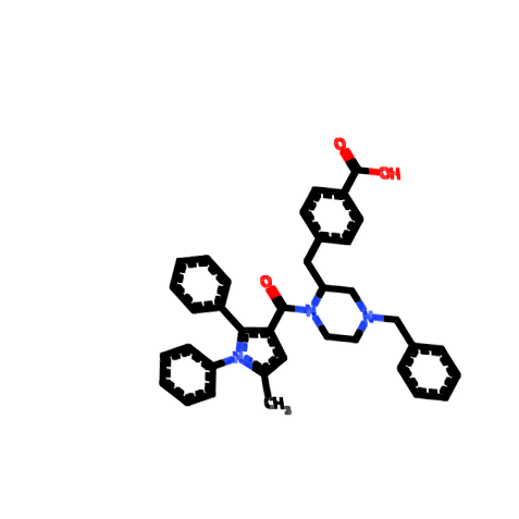 Cc1cc(C(=O)N2CCN(Cc3ccccc3)CC2Cc2ccc(C(=O)O)cc2)c(-c2ccccc2)n1-c1ccccc1